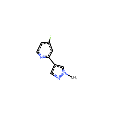 Cn1cc(-c2cc(F)ccn2)cn1